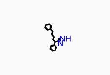 c1ccc(CCCCC(c2ccccc2)c2c[nH]cn2)cc1